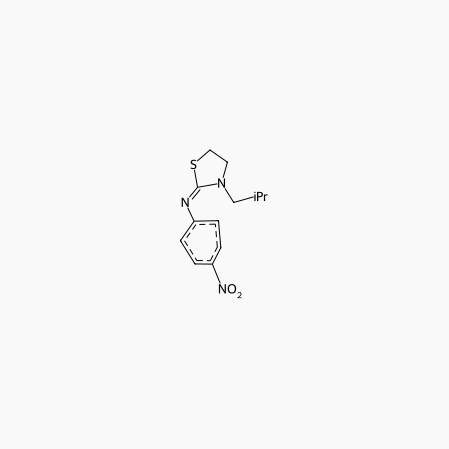 CC(C)CN1CCSC1=Nc1ccc([N+](=O)[O-])cc1